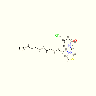 CCCCCCCCCCCC[N+]1(CN2CCCC2=O)CCSC1.[Cl-]